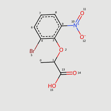 CC(Oc1c(Br)cccc1[N+](=O)[O-])C(=O)O